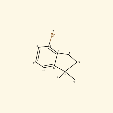 CC1(C)CCc2c(Br)cccc21